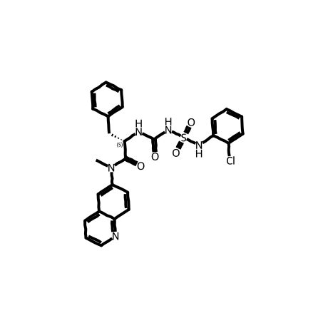 CN(C(=O)[C@H](Cc1ccccc1)NC(=O)NS(=O)(=O)Nc1ccccc1Cl)c1ccc2ncccc2c1